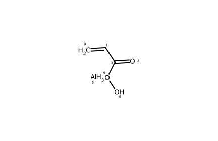 C=CC(=O)OO.[AlH3]